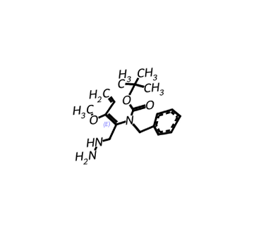 C=C/C(OC)=C(/CNN)N(Cc1ccccc1)C(=O)OC(C)(C)C